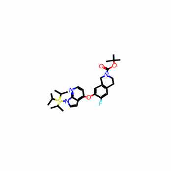 CC(C)S(C(C)C)(C(C)C)n1ccc2c(Oc3cc4c(cc3F)CCN(C(=O)OC(C)(C)C)C4)ccnc21